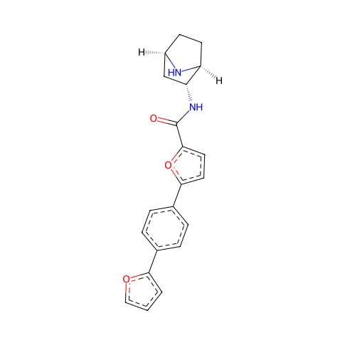 O=C(N[C@@H]1C[C@H]2CC[C@@H]1N2)c1ccc(-c2ccc(-c3ccco3)cc2)o1